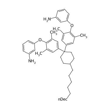 CCCCCCCCCCCCCCCC1CCC(c2cc(C)c(Oc3cccc(N)c3)c(C)c2)(c2cc(C)c(Oc3cccc(N)c3)c(C)c2)CC1